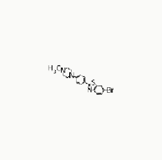 CN1CCN(c2ccc(-c3nc4ccc(Br)cc4s3)cc2)CC1